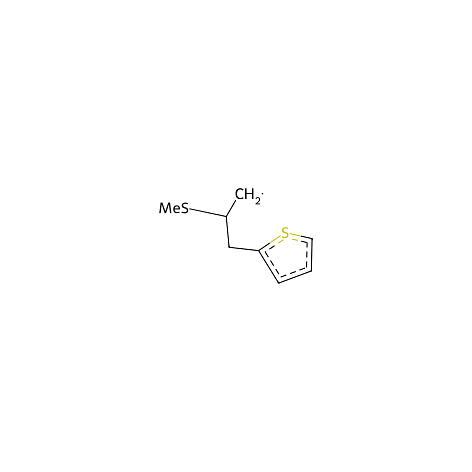 [CH2]C(Cc1cccs1)SC